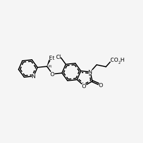 CC[C@@H](Oc1cc2oc(=O)n(CCC(=O)O)c2cc1Cl)c1ccccn1